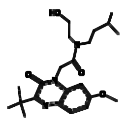 COc1ccc2nc(C(C)(C)C)c(=O)n(CC(=O)N(CCO)CCC(C)C)c2c1